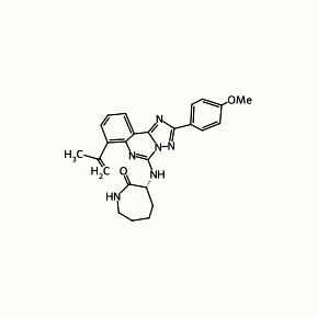 C=C(C)c1cccc2c1nc(N[C@@H]1CCCCNC1=O)n1nc(-c3ccc(OC)cc3)nc21